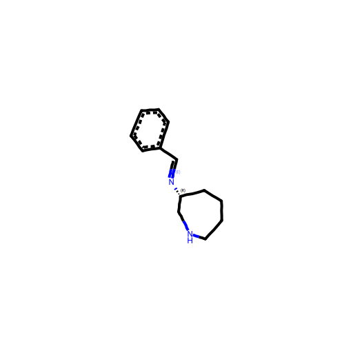 C(=N\[C@@H]1CCCCNC1)/c1ccccc1